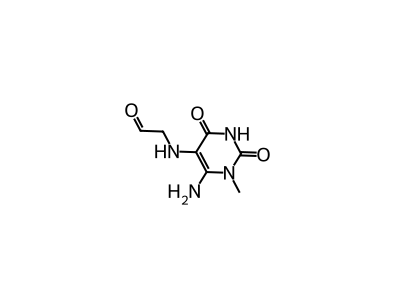 Cn1c(N)c(NCC=O)c(=O)[nH]c1=O